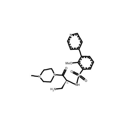 COc1c(-c2ccncc2)cccc1S(=O)(=O)N[C@@H](CN)C(=O)N1CCN(C)CC1